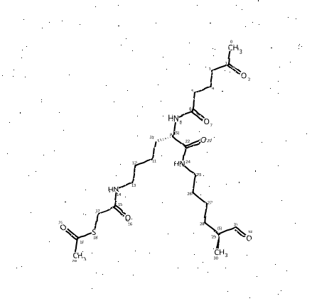 CC(=O)CCCC(=O)N[C@@H](CCCCNC(=O)CSC(C)=O)C(=O)NCCCC[C@H](C)C=O